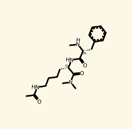 CN[C@H](Cc1ccccc1)C(=O)N[C@@H](CCCCNC(C)=O)C(=O)N(C)C